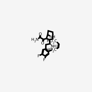 NC(=O)C(=O)C1C2CCC(CC1[C@H](N)Cc1cc(F)c(F)cc1F)N2.O=C(O)/C=C\C(=O)O